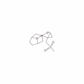 CC(C)N1CC2CCC(C1)N2CC1(CS(C)(=O)=O)CC1